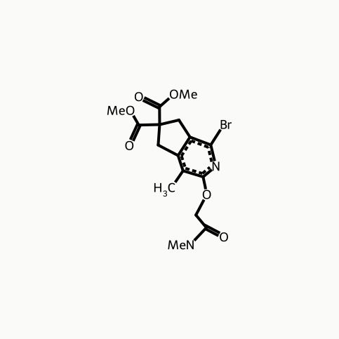 CNC(=O)COc1nc(Br)c2c(c1C)CC(C(=O)OC)(C(=O)OC)C2